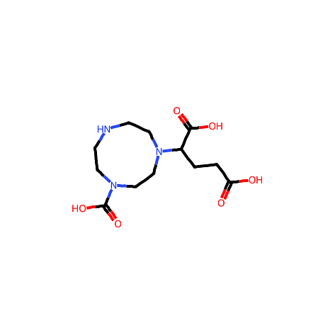 O=C(O)CCC(C(=O)O)N1CCNCCN(C(=O)O)CC1